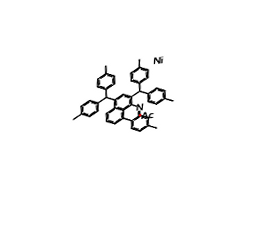 CC(=O)C(C)=Nc1c(C(c2ccc(C)cc2)c2ccc(C)cc2)cc(C(c2ccc(C)cc2)c2ccc(C)cc2)c2cccc(-c3ccc(C)cc3)c12.[Ni]